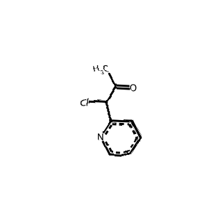 CC(=O)C(Cl)c1ccccn1